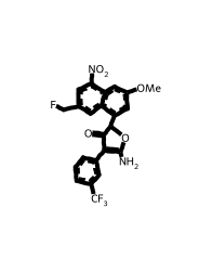 COc1cc(C2OC(N)=C(c3cccc(C(F)(F)F)c3)C2=O)c2cc(CF)cc([N+](=O)[O-])c2c1